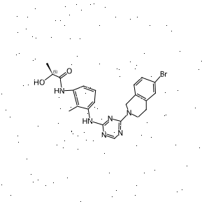 Cc1c(NC(=O)[C@H](C)O)cccc1Nc1ncnc(N2CCc3cc(Br)ccc3C2)n1